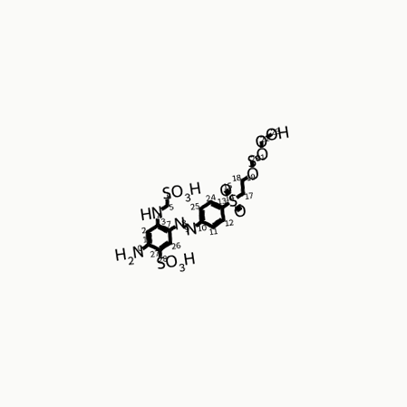 Nc1cc(NCS(=O)(=O)O)c(/N=N/c2ccc(S(=O)(=O)CCOSOOO)cc2)cc1S(=O)(=O)O